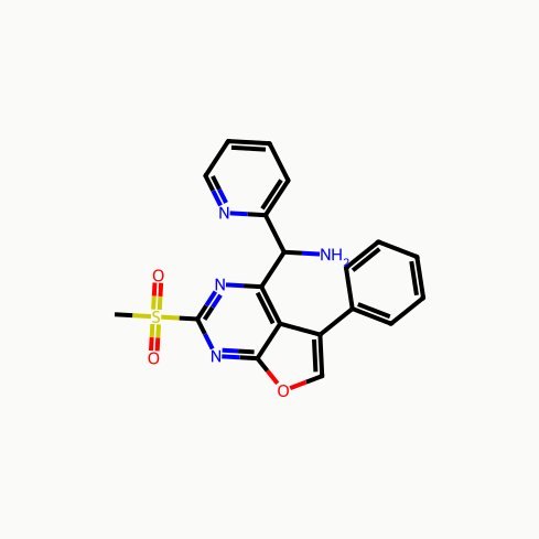 CS(=O)(=O)c1nc(C(N)c2ccccn2)c2c(-c3ccccc3)coc2n1